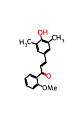 COc1ccccc1C(=O)C=Cc1cc(C)c(O)c(C)c1